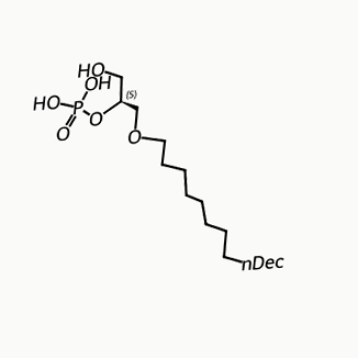 CCCCCCCCCCCCCCCCCCOC[C@H](CO)OP(=O)(O)O